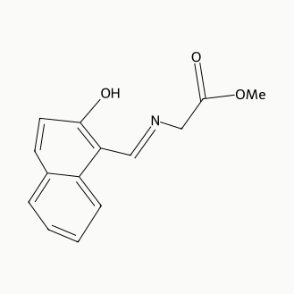 COC(=O)CN=Cc1c(O)ccc2ccccc12